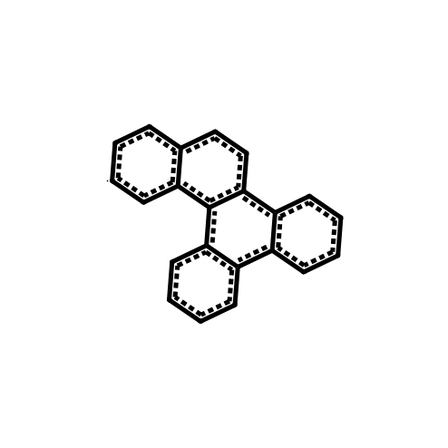 [c]1ccc2ccc3c4ccccc4c4ccccc4c3c2c1